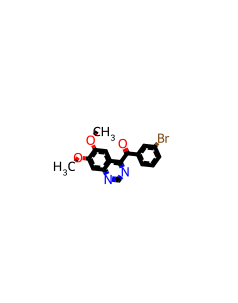 COc1cc2ncnc(C(=O)c3cccc(Br)c3)c2cc1OC